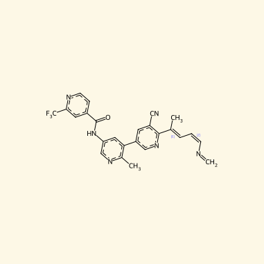 C=N/C=C\C=C(/C)c1ncc(-c2cc(NC(=O)c3ccnc(C(F)(F)F)c3)cnc2C)cc1C#N